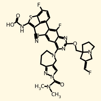 CN(C)C(=O)n1cc2c(n1)CCCN(c1nc(OCC34CCCN3C/C(=C\F)C4)nc3c(F)c(-c4ccc(F)c5sc(NC(=O)O)c(C#N)c45)c(Cl)cc13)C2